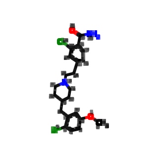 COc1ccc(Br)c(CC2CCN(CCc3ccc(C(N)=O)c(Cl)c3)CC2)c1